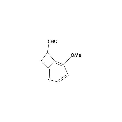 COc1cccc2c1C(C=O)C2